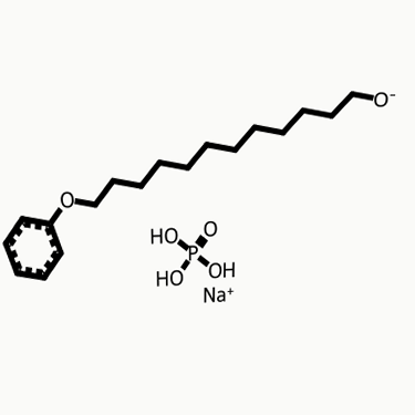 O=P(O)(O)O.[Na+].[O-]CCCCCCCCCCCCOc1ccccc1